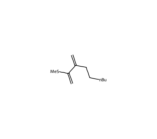 C=C(CCCCCC)C(=C)SC